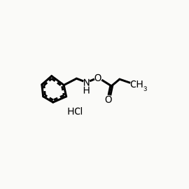 CCC(=O)ONCc1ccccc1.Cl